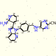 N#Cc1ncc(NCc2ccc(-n3c(-c4cccnc4N)nc4cccnc43)cc2)cn1